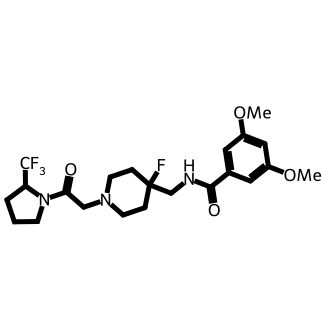 COc1cc(OC)cc(C(=O)NCC2(F)CCN(CC(=O)N3CCCC3C(F)(F)F)CC2)c1